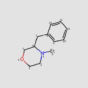 CCN1CCOCC1Cc1ccccc1